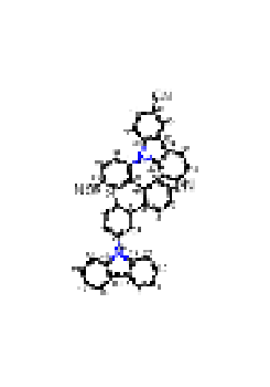 N#Cc1ccc(-c2cccc(-n3c4ccccc4c4ccccc43)c2)c(-c2cc(C#N)ccc2-n2c3ccccc3c3cc(C#N)ccc32)c1